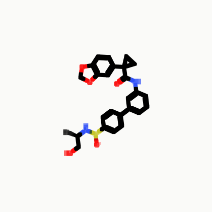 CC[C@H](CO)N[S+]([O-])c1ccc(-c2cccc(NC(=O)C3(c4ccc5c(c4)OCO5)CC3)c2)cc1